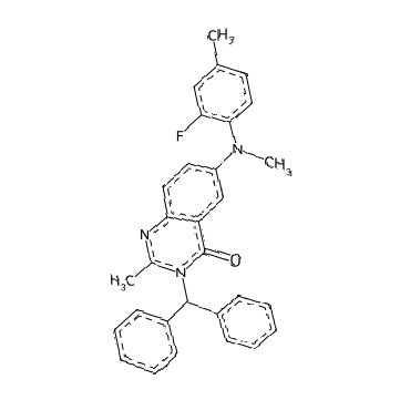 Cc1ccc(N(C)c2ccc3nc(C)n(C(c4ccccc4)c4ccccc4)c(=O)c3c2)c(F)c1